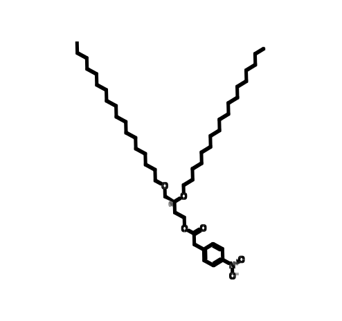 CCCCCCCCCCCCCCCCCCOC[C@H](CCOC(=O)Cc1ccc([N+](=O)[O-])cc1)OCCCCCCCCCCCCCCCCCC